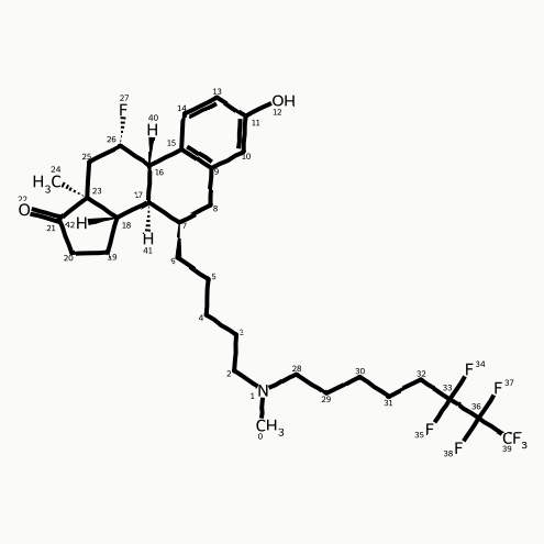 CN(CCCCC[C@@H]1Cc2cc(O)ccc2[C@@H]2[C@@H]1[C@@H]1CCC(=O)[C@@]1(C)C[C@@H]2F)CCCCCC(F)(F)C(F)(F)C(F)(F)F